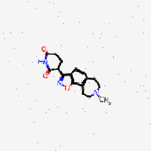 CN1CCc2ccc3c(C4CCC(=O)NC4=O)noc3c2CC1